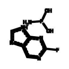 Fc1ncc2nc[nH]c2n1.NP(O)O